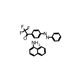 Nc1cccc2ccccc12.O=C(c1ccc(N=Nc2ccccc2)cc1)C(F)(F)F